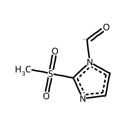 CS(=O)(=O)c1nccn1[C]=O